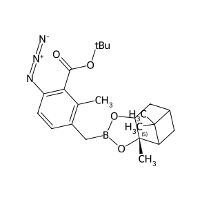 Cc1c(CB2OC3CC4CC(C4(C)C)[C@]3(C)O2)ccc(N=[N+]=[N-])c1C(=O)OC(C)(C)C